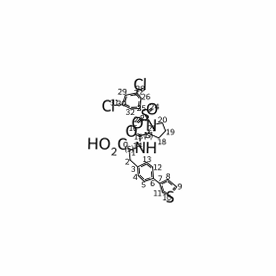 O=C(O)[C@H](Cc1ccc(-c2ccsc2)cc1)NC(=O)[C@@H]1CCCN1S(=O)(=O)c1cc(Cl)cc(Cl)c1